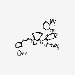 NC(=O)c1cnc(NC2CCCCC2N)nc1Nc1cccc2c1ccn2CCCc1cccc(O)c1